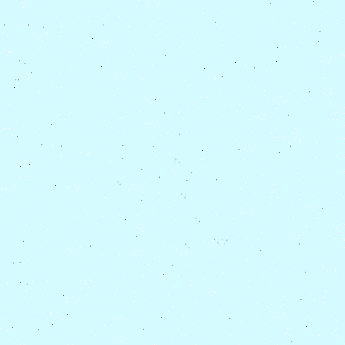 CNc1nc(Cl)cc(N2CCN(C(=O)OCc3ccccc3)CC2)n1